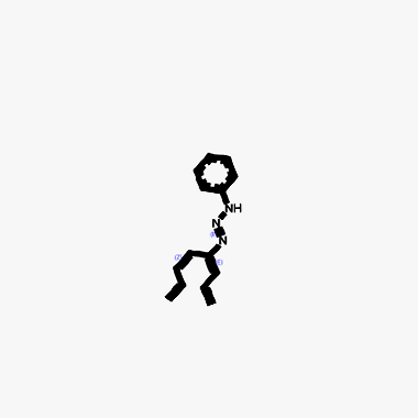 C=C\C=C/C(=C\C=C)/N=N/Nc1ccccc1